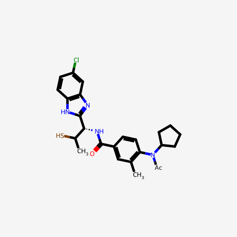 CC(=O)N(c1ccc(C(=O)N[C@@H](c2nc3cc(Cl)ccc3[nH]2)C(C)S)cc1C)C1CCCC1